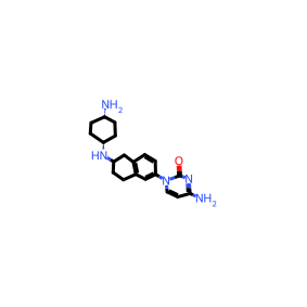 Nc1ccn(-c2ccc3c(c2)CCC(N[C@H]2CC[C@@H](N)CC2)C3)c(=O)n1